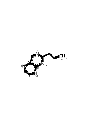 C=CCc1ncc2nccnc2n1